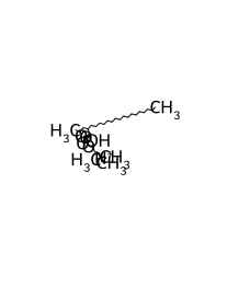 CCCCCCCCCCCCCCCCCC(COP(=O)(O)OCCC[N+](C)(C)C)CC(C)=O